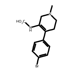 CN1CCC(c2ccc(Br)cc2)=C(NC(=O)O)C1